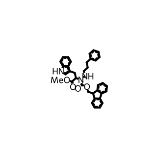 COC(=O)C(Cc1c[nH]c2ccccc12)N(NCCCc1ccccc1)C(=O)OCC1c2ccccc2-c2ccccc21